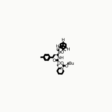 Cc1ccc(CC[C@H](NC(=O)OC[C@H]2CCCCN2C(=O)OC(C)(C)C)B2O[C@@H]3C[C@@H]4C[C@@H](C4(C)C)[C@]3(C)O2)cc1